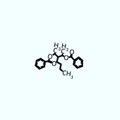 CCCCC(C(C)OC(=O)c1ccccc1)C(C)OC(=O)c1ccccc1